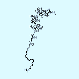 CCCCC/C=C\C/C=C\C/C=C\CCCCCCC(=O)SCCNC(=O)CCNC(=O)[C@H](O)C(C)(C)COP(=O)(O)OP(=O)(O)OC[C@H]1O[C@@H](n2cnc3c(N)ncnc32)[C@H](O)[C@@H]1OP(=O)(O)O